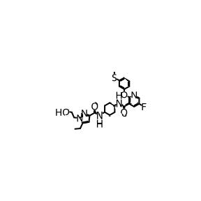 CCc1cc(C(=O)NC2CCC(NC(=O)c3cc(F)cnc3Oc3cccc(SC)c3)CC2)nn1CCO